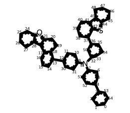 c1ccc(-c2ccc(N(c3ccc(-c4cccc5c4ccc4oc6ccccc6c45)cc3)c3cccc(-c4cccc5c4sc4ccccc45)c3)cc2)cc1